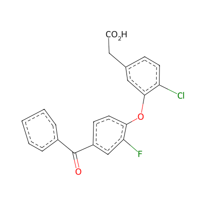 O=C(O)Cc1ccc(Cl)c(Oc2ccc(C(=O)c3ccccc3)cc2F)c1